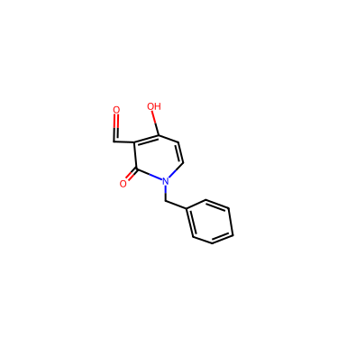 O=Cc1c(O)ccn(Cc2ccccc2)c1=O